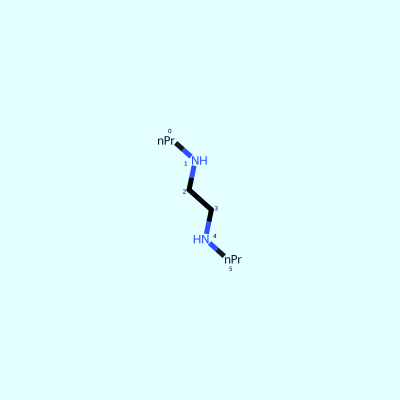 [CH2]CCNCCNCC[CH2]